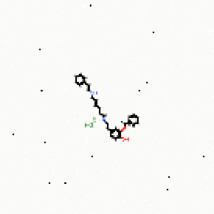 Cl.Cl.Oc1ccc(CCNCCCCCCNCCc2ccccc2)cc1OCc1ccccc1